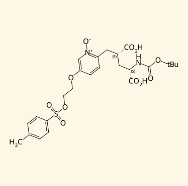 Cc1ccc(S(=O)(=O)OCCOc2ccc(C[C@@H](C[C@H](NC(=O)OC(C)(C)C)C(=O)O)C(=O)O)[n+]([O-])c2)cc1